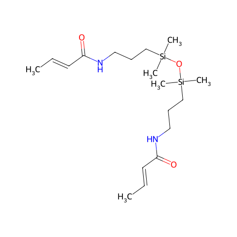 CC=CC(=O)NCCC[Si](C)(C)O[Si](C)(C)CCCNC(=O)C=CC